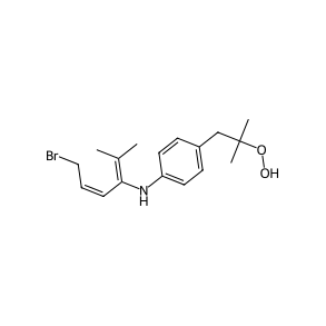 CC(C)=C(/C=C\CBr)Nc1ccc(CC(C)(C)OO)cc1